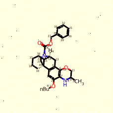 CCCCOc1cc2c(c3c1NC(C)CO3)C[C@H]1C3CCCC[C@@]23CCN1C(=O)OCc1ccccc1